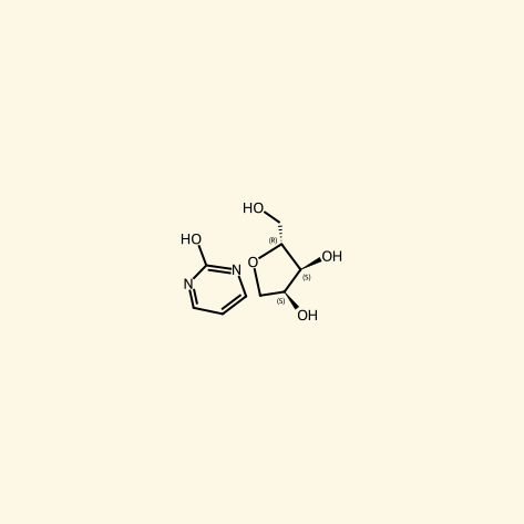 OC[C@H]1OC[C@H](O)[C@@H]1O.Oc1ncccn1